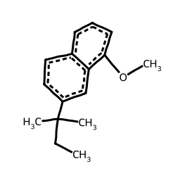 CCC(C)(C)c1ccc2cccc(OC)c2c1